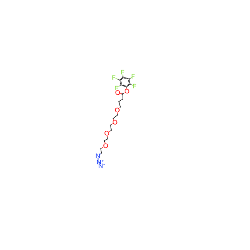 [N-]=[N+]=NCCOCCOCCOCCOCCCC(=O)Oc1c(F)c(F)c(F)c(F)c1F